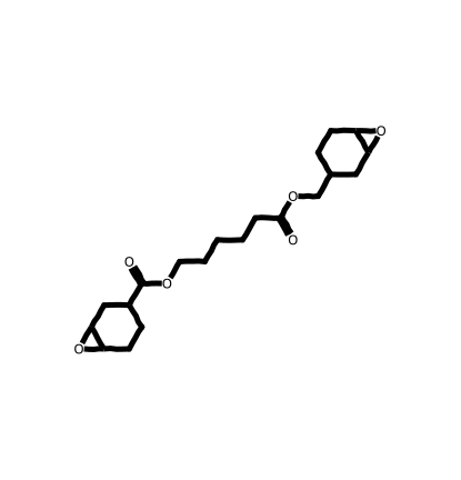 O=C(CCCCCOC(=O)C1CCC2OC2C1)OCC1CCC2OC2C1